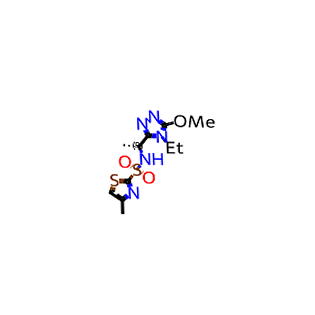 CCn1c(OC)nnc1[C@@H](C)NS(=O)(=O)c1nc(C)cs1